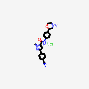 Cl.Cn1nc(-c2ccc(C#N)cc2)cc1C(=O)Nc1ccc(C2CNCCO2)cc1